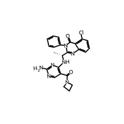 C[C@@H](Nc1nc(N)ncc1C(=O)N1CCC1)c1nc2cccc(Cl)c2c(=O)n1-c1ccccc1